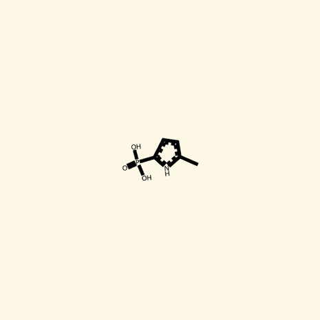 Cc1ccc(P(=O)(O)O)[nH]1